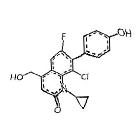 O=c1cc(CO)c2cc(F)c(-c3ccc(O)cc3)c(Cl)c2n1C1CC1